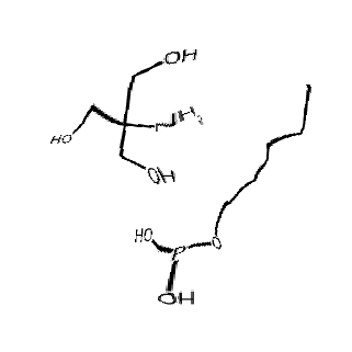 CCCCCOP(O)O.NC(CO)(CO)CO